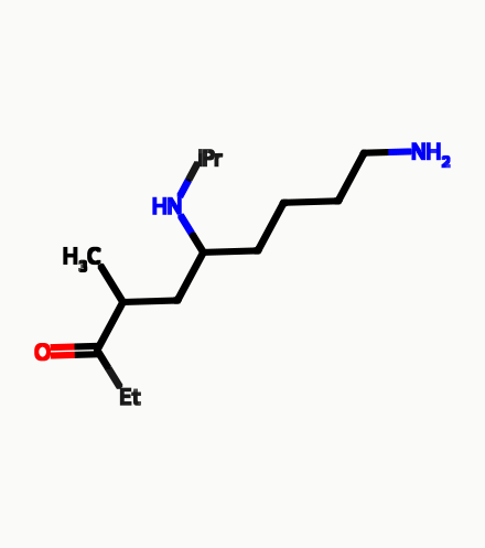 CCC(=O)C(C)CC(CCCCN)NC(C)C